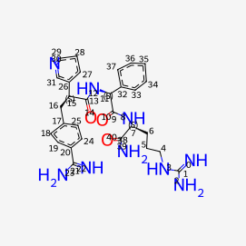 N=C(N)NCCC[C@H](NC(=O)[C@@H](NC(=O)[C@@H](Cc1ccc(C(=N)N)cc1)c1cccnc1)c1ccccc1)C(N)=O